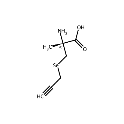 C#CC[Se]C[C@](C)(N)C(=O)O